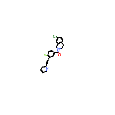 O=C(c1ccc(F)c(C#Cc2ccccn2)c1)N1CCc2ccc(Cl)cc2C1